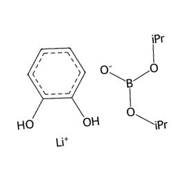 CC(C)OB([O-])OC(C)C.Oc1ccccc1O.[Li+]